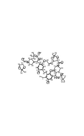 CCc1cc(O)c([C@H](N[S@@+]([O-])C(C)(C)C)C2CCN(C(=O)[C@@H]3OC(C)(C)OC3C=CCOc3cc(CC)c(Cl)cc3[C@H](N[S@@+]([O-])C(C)(C)C)C3CCN(C(=O)[C@H]4COC(C)(C)O4)CC3)CC2)cc1Cl